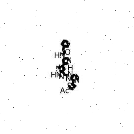 CC(=O)c1ccc(-c2nccc3[nH]c(-c4n[nH]c5ncc(-c6cncc(NC(=O)Cc7ccccc7)c6)cc45)nc23)s1